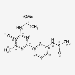 COC(C)Nc1nc(-c2cccc(N[S+](C)[O-])c2)cn(C)c1=O